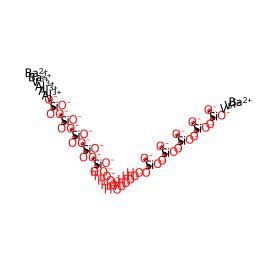 O=[Si]([O-])[O-].O=[Si]([O-])[O-].O=[Si]([O-])[O-].O=[Si]([O-])[O-].O=[Si]([O-])[O-].O=[Si]([O-])[O-].O=[Si]([O-])[O-].O=[Si]([O-])[O-].O=[Si]([O-])[O-].O=[Si]([O-])[O-].[Al+3].[Al+3].[Al+3].[Ba+2].[Ba+2].[Ba+2].[OH-].[OH-].[OH-].[OH-].[OH-].[OH-].[OH-].[OH-].[OH-].[OH-].[V+5].[V+5].[V+5]